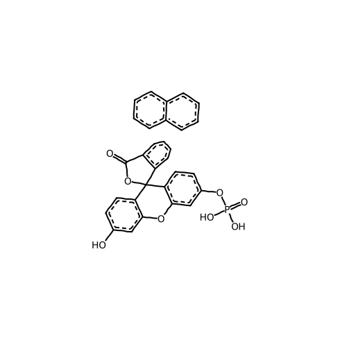 O=C1OC2(c3ccc(O)cc3Oc3cc(OP(=O)(O)O)ccc32)c2ccccc21.c1ccc2ccccc2c1